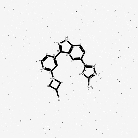 Cc1nnc(-c2ccc3[nH]nc(-c4ccnc(N5CC(F)C5)c4)c3c2)o1